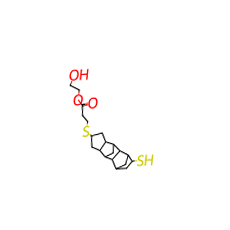 O=C(CCSC1CC2C(C1)C1CC2C2C3CC(S)C(C3)C12)OCCO